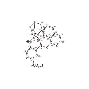 CCOC(=O)c1ccc(NC2CC3CC4CC(C3)CC2C4)c(N(Cc2ccccc2)Cc2ccccc2)c1